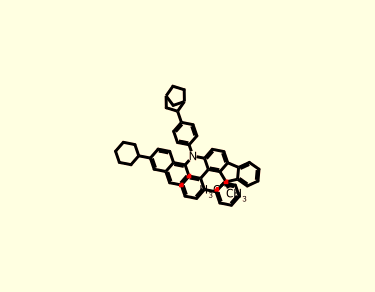 CC1(C)c2ccccc2-c2ccc(N(c3ccc(C4CC5CCC4C5)cc3)c3cccc4cc(C5CCCCC5)ccc34)c(-c3ccccc3-c3ccccc3)c21